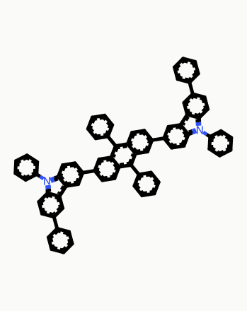 c1ccc(-c2ccc3c(c2)c2cc(-c4ccc5c(-c6ccccc6)c6cc(-c7ccc8c(c7)c7cc(-c9ccccc9)ccc7n8-c7ccccc7)ccc6c(-c6ccccc6)c5c4)ccc2n3-c2ccccc2)cc1